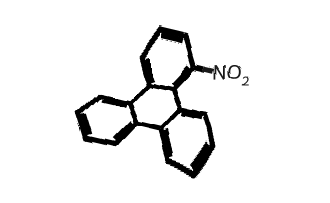 O=[N+]([O-])c1cccc2c3ccccc3c3ccccc3c12